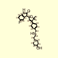 CC1(C)OC(C2C(=O)Nc3ccc(F)cc32)C=C1c1ccc(CNCCN2CCC(O)CC2)cc1